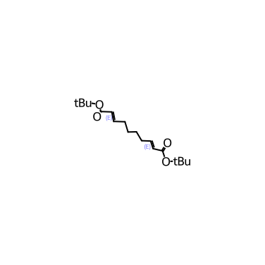 CC(C)(C)OC(=O)/C=C/CCCC/C=C/C(=O)OC(C)(C)C